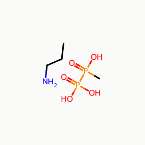 CCCN.CP(=O)(O)P(=O)(O)O